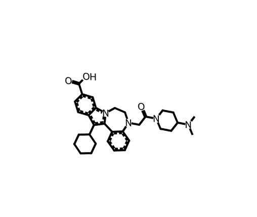 CN(C)C1CCN(C(=O)CN2CCn3c(c(C4CCCCC4)c4ccc(C(=O)O)cc43)-c3ccccc32)CC1